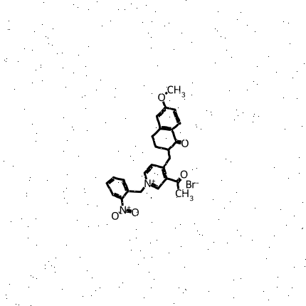 COc1ccc2c(c1)CCC(Cc1cc[n+](Cc3ccccc3[N+](=O)[O-])cc1C(C)=O)C2=O.[Br-]